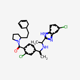 C=C(NC(C)c1nc2cc(Cl)ccc2[nH]1)c1ccc(C(=O)N2CCCC2CCC2C=CC=CC2)c(Cl)c1